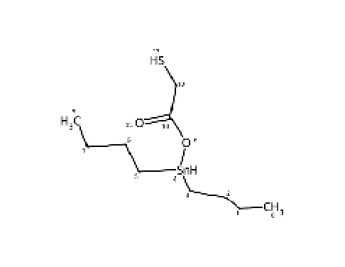 CCC[CH2][SnH]([CH2]CCC)[O]C(=O)CS